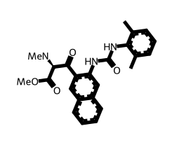 CN[C@H](C(=O)OC)C(=O)c1cc2ccccc2cc1NC(=O)Nc1c(C)cccc1C